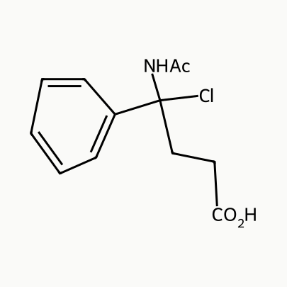 CC(=O)NC(Cl)(CCC(=O)O)c1ccccc1